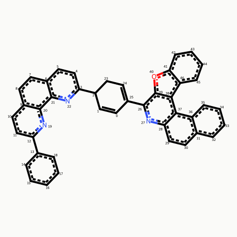 C1=CC(c2ccc3ccc4ccc(-c5ccccc5)nc4c3n2)CC=C1c1nc2ccc3ccccc3c2c2c1oc1ccccc12